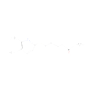 COC(=O)CCCCSc1ccc(C)c(C=O)n1